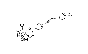 CNC(=O)C(C(=O)NO)N(C)C(=O)c1ccc(C#C/C=C/c2ccc(OC)nc2)cc1